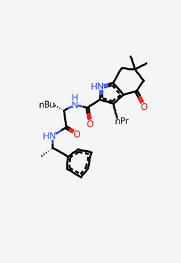 CCCC[C@H](NC(=O)c1[nH]c2c(c1CCC)C(=O)CC(C)(C)C2)C(=O)N[C@@H](C)c1ccccc1